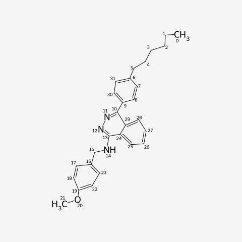 CCCCCCc1ccc(-c2nnc(NCc3ccc(OC)cc3)c3ccccc23)cc1